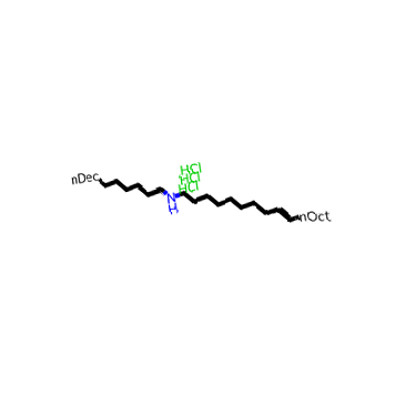 CCCCCCCCC=CCCCCCCCCNCCCCCCCCCCCCCCCC.Cl.Cl.Cl